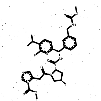 COC(=O)NCc1cccc([C@H](NC(=O)[C@@H]2C[C@@H](F)CN2C(=O)Cc2cnnn2C(=O)OC)c2ccc(C(C)C)c(F)n2)c1